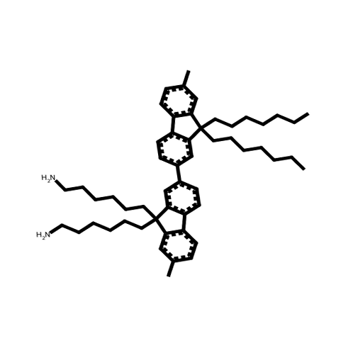 CCCCCCCC1(CCCCCCC)c2cc(C)ccc2-c2ccc(-c3ccc4c(c3)C(CCCCCCN)(CCCCCCN)c3cc(C)ccc3-4)cc21